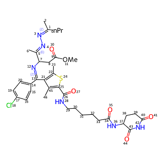 CCC/C(C)=N\N=C(/C)C(CC(=O)OC)/N=C(/c1ccc(Cl)cc1)c1c(C)sc(C(=O)NCCCCCC(=O)NC2CCC(=O)NC2=O)c1C